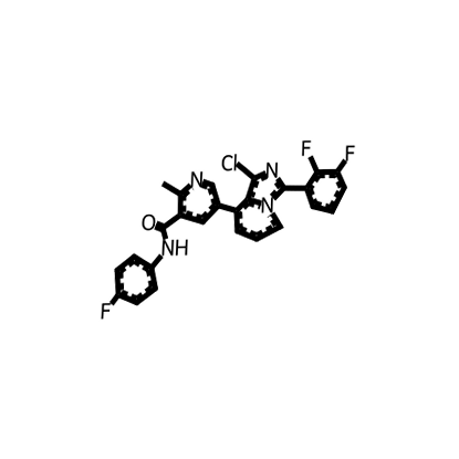 Cc1ncc(-c2cccn3c(-c4cccc(F)c4F)nc(Cl)c23)cc1C(=O)Nc1ccc(F)cc1